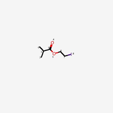 CC(C)C(=O)OCCI